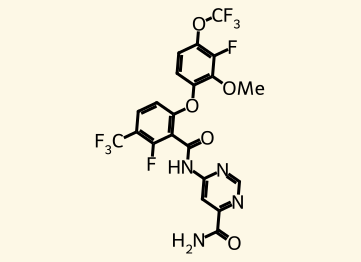 COc1c(Oc2ccc(C(F)(F)F)c(F)c2C(=O)Nc2cc(C(N)=O)ncn2)ccc(OC(F)(F)F)c1F